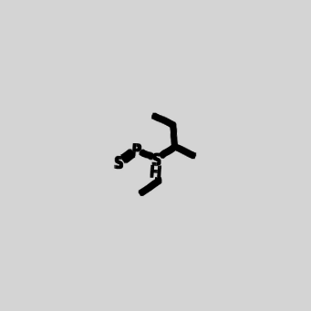 CCC(C)[SH](CC)P=S